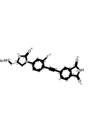 CC(=O)NC[C@H]1CN(c2ccc(C#Cc3ccc4c(c3)C(=O)NC4=O)c(F)c2)C(=O)O1